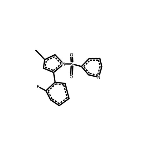 Cc1cc(-c2ccccc2F)n(S(=O)(=O)c2cccnc2)c1